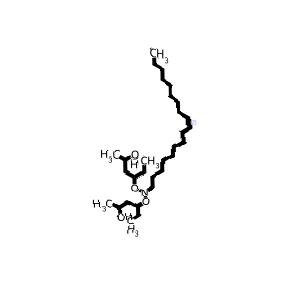 CCCCCCCC/C=C\CCCCCCCCN(OC(CC)CC(C)O)OC(CC)CC(C)O